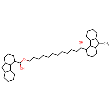 CC1C2CCCCC2C2C1CCCC2[C@@H](O)CCCCCCCCCCCOC(O)C1CCCC2CC3CCCCC3C21